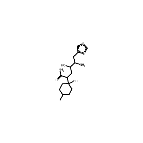 CC1CCC(O)(C(CC(O)C(N)Cc2cscn2)C(N)=O)CC1